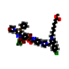 COC(=O)CCCCCCCCCN1CCC(c2ccc(Cl)cc2)=C(CN2CCN(c3ccc(C(=O)NS(=O)(=O)c4ccc(N[C@H](CCN5CCOCC5)CSc5ccccc5)c(S(=O)(=O)C(F)(F)F)c4)cc3)CC2)C1